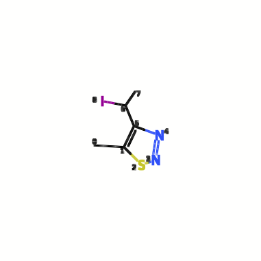 Cc1snnc1C(C)I